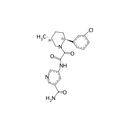 C[C@@H]1CC[C@@H](c2cccc(Cl)c2)N(C(=O)C(=O)Nc2cncc(C(N)=O)c2)C1